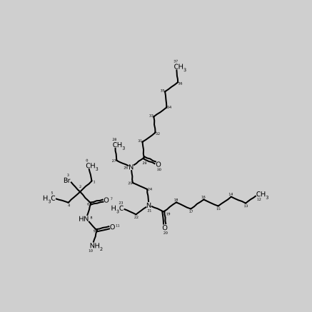 CCC(Br)(CC)C(=O)NC(N)=O.CCCCCCCC(=O)N(CC)CCN(CC)C(=O)CCCCCCC